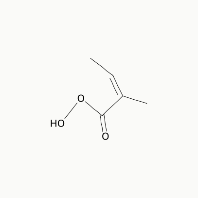 CC=C(C)C(=O)OO